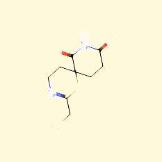 O=C1CCC2(CCN=C(CO)S2)C(=O)N1